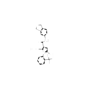 Cc1cc(C(=O)Nc2ccc3c(c2)COC3)c(C)n1-c1ccccc1C(F)(F)F